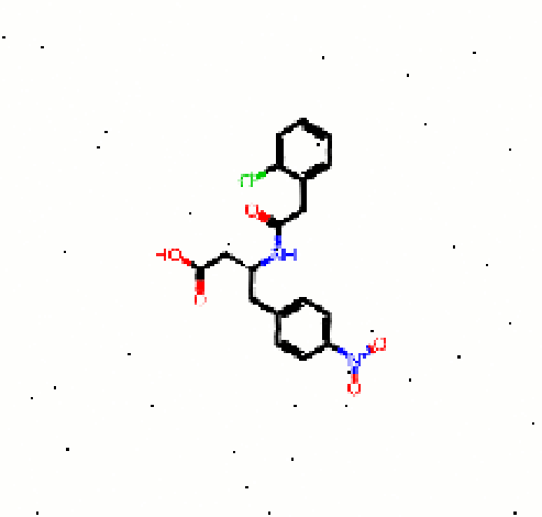 O=C(O)C[C@H](Cc1ccc([N+](=O)[O-])cc1)NC(=O)Cc1ccccc1Cl